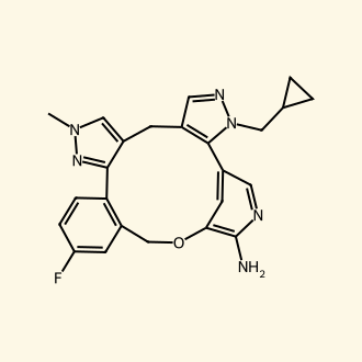 Cn1cc2c(n1)-c1ccc(F)cc1COc1cc(cnc1N)-c1c(cnn1CC1CC1)C2